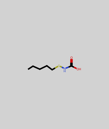 CCCCCSNC(=O)O